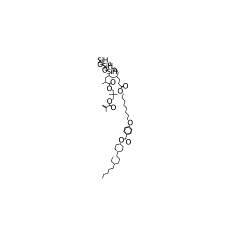 C=C(C)C(=O)OCC(C)(C)COC(=O)C(C)CC1CC(CCC(=O)OCCCCCCCCOc2ccc(C(=O)O[C@H]3CC[C@H]([C@H]4CC[C@H](CCCCC)CC4)CC3)cc2)CCC[SiH]1O[SiH2]O[SiH3]